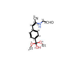 CCOC(O)(OCC)c1ccc(C=C(C#N)NCC=O)cc1